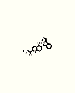 NC(=O)c1ccc2c(n1)CC[C@@H](C1c3ccccc3-c3cncn31)[C@@H]2O